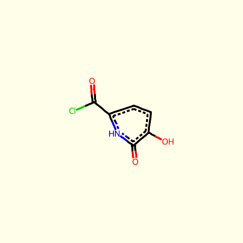 O=C(Cl)c1ccc(O)c(=O)[nH]1